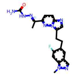 C/C(=N\NC(N)=O)c1ccc2ncc(CCc3cc4cnn(C)c4cc3F)n2n1